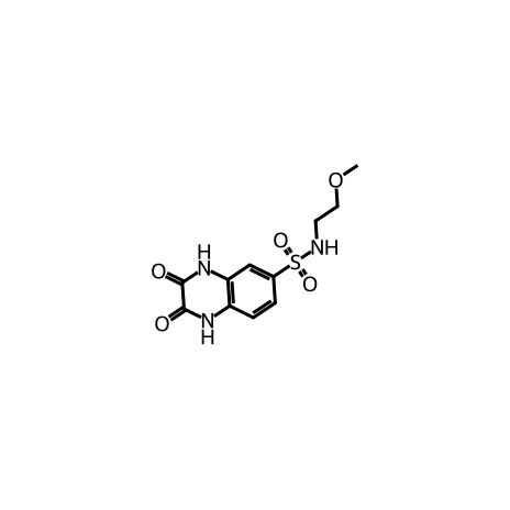 COCCNS(=O)(=O)c1ccc2[nH]c(=O)c(=O)[nH]c2c1